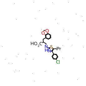 CC(C)c1sc(NCC(Cc2cccc3c2OCO3)C(=O)O)nc1-c1ccc(Cl)cc1